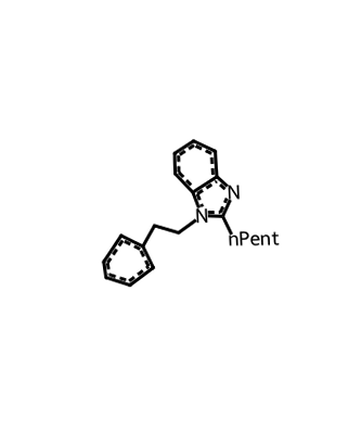 CCCCCc1nc2ccccc2n1CCc1ccccc1